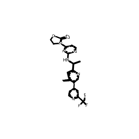 Cc1cc(C(C)Nc2nccc(N3CCOC3=O)n2)ncc1-c1ccnc(C(F)(F)F)c1